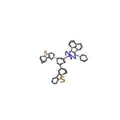 c1ccc(-c2nc(-c3cc(-c4ccc5sc6ccccc6c5c4)cc(-c4ccc5sc6ccccc6c5c4)c3)nc3c2-c2cccc4cccc-3c24)cc1